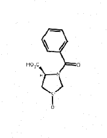 O=C(O)[C@@H]1C[S+]([O-])CN1C(=O)c1ccccc1